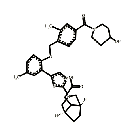 Cc1ccc(OCc2ccc(C(=O)N3CCC(O)CC3)cc2C)c(-c2csc(N3C[C@H]4CC[C@@H](C3)C4CC(=O)O)n2)c1